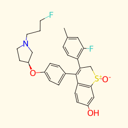 Cc1ccc(C2=C(c3ccc(O[C@H]4CCN(CCCF)C4)cc3)c3ccc(O)cc3[S+]([O-])C2)c(F)c1